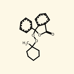 CC1(OOC2(c3ccccc3)OC(=O)c3ccccc32)CCCCC1